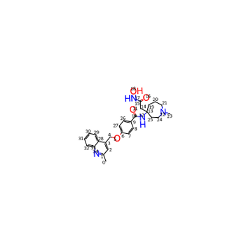 Cc1cc(COc2ccc(C(=O)NC3(CC(=O)NO)CCCN(C)CC3)cc2)c2ccccc2n1